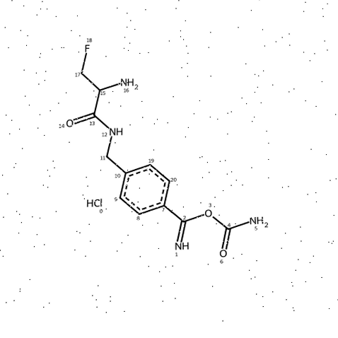 Cl.N=C(OC(N)=O)c1ccc(CNC(=O)C(N)CF)cc1